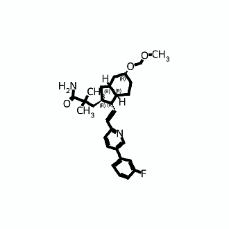 COCO[C@@H]1CC[C@@H]2[C@@H](C1)C[C@H](CC(C)(C)C(N)=O)[C@H]2C=Cc1ccc(-c2cccc(F)c2)cn1